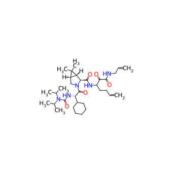 C=CCCC(NC(=O)[C@@H]1[C@@H]2[C@H](CN1C(=O)[C@@H](NC(=O)N(C(C)C)C(C)C)C1CCCCC1)C2(C)C)C(=O)C(=O)NCC=C